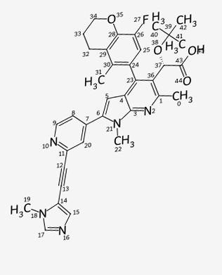 Cc1nc2c(cc(-c3ccnc(C#Cc4cncn4C)c3)n2C)c(-c2cc(F)c3c(c2C)CCCO3)c1[C@H](OC(C)(C)C)C(=O)O